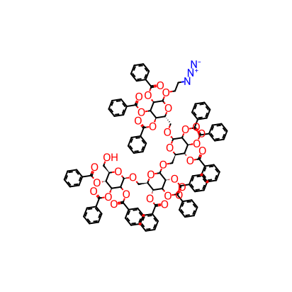 [N-]=[N+]=NCCOC1O[C@H](CO[C@@H]2O[C@H](COC3O[C@H](CO[C@@H]4O[C@H](CO)[C@@H](OC(=O)c5ccccc5)[C@H](OC(=O)c5ccccc5)C4OC(=O)c4ccccc4)[C@@H](OC(=O)c4ccccc4)C(OC(=O)c4ccccc4)[C@H]3OC(=O)c3ccccc3)[C@@H](OC(=O)c3ccccc3)[C@H](OC(=O)c3ccccc3)C2OC(=O)c2ccccc2)[C@@H](OC(=O)c2ccccc2)C(OC(=O)c2ccccc2)[C@H]1OC(=O)c1ccccc1